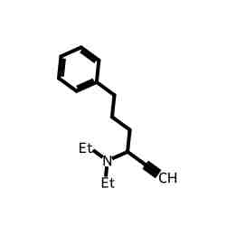 C#CC(CCCc1ccccc1)N(CC)CC